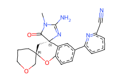 CN1C(=O)[C@@]2(C[C@@]3(CCCOC3)Oc3ccc(-c4cccc(C#N)n4)cc32)N=C1N